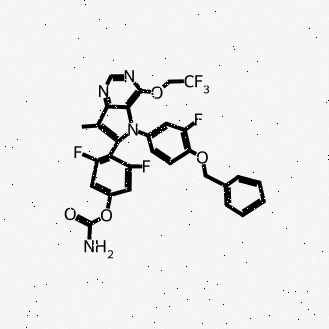 Cc1c(-c2c(F)cc(OC(N)=O)cc2F)n(-c2ccc(OCc3ccccc3)c(F)c2)c2c(OCC(F)(F)F)ncnc12